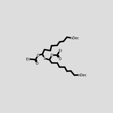 CCCCCCCCCCCCCCCCCC(OC(=O)CC)SC(CCCCCCCCCCCCCCCCC)OC(=O)CC